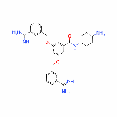 N=C(N)c1cccc(COc2cc(OCc3cccc(C(=N)N)c3)cc(C(=O)NC3CCC(N)CC3)c2)c1